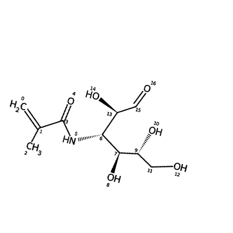 C=C(C)C(=O)N[C@@H]([C@H](O)[C@H](O)CO)[C@@H](O)C=O